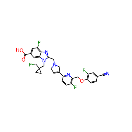 N#Cc1ccc(OCc2nc(C3=CCN(Cc4nc5c(F)cc(C(=O)O)cc5n4CC4(CF)CC4)C3)ccc2F)c(F)c1